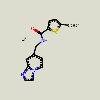 O=C([O-])c1ccc(C(=O)NCc2ccn3ccnc3c2)s1.[Li+]